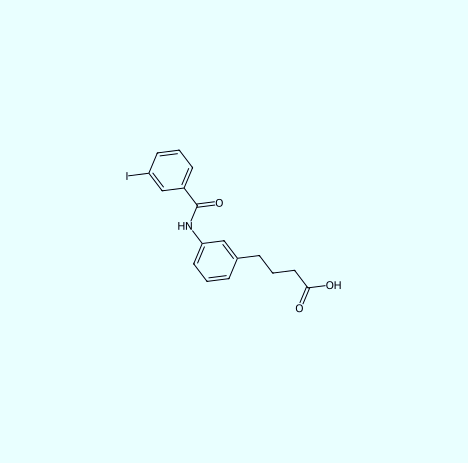 O=C(O)CCCc1cccc(NC(=O)c2cccc(I)c2)c1